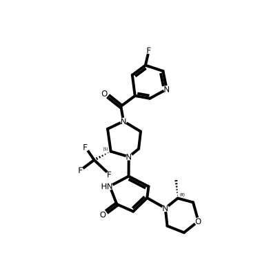 C[C@@H]1COCCN1c1cc(N2CCN(C(=O)c3cncc(F)c3)C[C@H]2C(F)(F)F)[nH]c(=O)c1